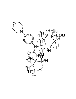 [2H]N(C(=O)N(c1ccc(N2CCOCC2)cc1)C([2H])([2H])C1([2H])C([2H])([2H])C([2H])([2H])[N+](C(=O)[O-])(C(C)(C)C)C([2H])([2H])C1([2H])[2H])C1([2H])C([2H])([2H])COC([2H])([2H])C1([2H])[2H]